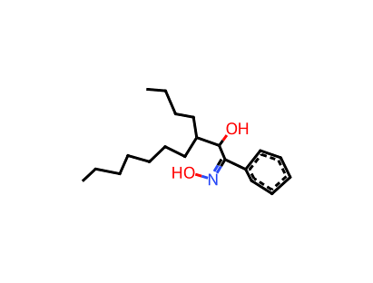 CCCCCCCC(CCCC)C(O)C(=NO)c1ccccc1